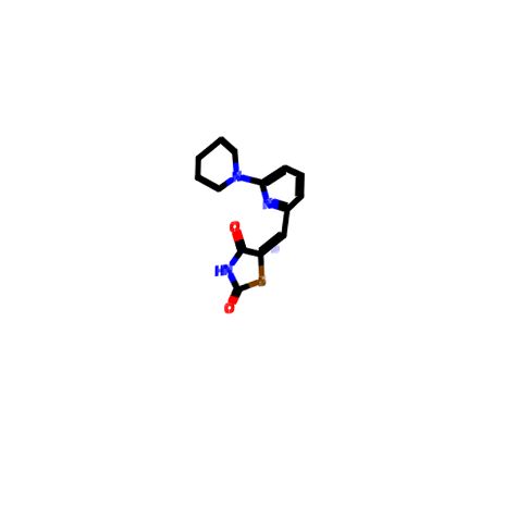 O=C1NC(=O)/C(=C\c2cccc(N3CCCCC3)n2)S1